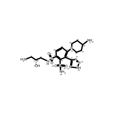 NC[C@@H](O)CNS(=O)(=O)c1ccc(N2CCC(N)CC2)c(-c2nn[nH]n2)c1S(N)(=O)=O